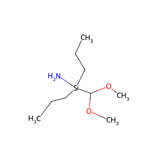 CCC[Si](N)(CCC)C(OC)OC